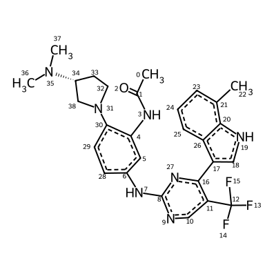 CC(=O)Nc1cc(Nc2ncc(C(F)(F)F)c(-c3c[nH]c4c(C)cccc34)n2)ccc1N1CC[C@@H](N(C)C)C1